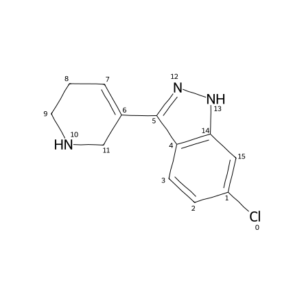 Clc1ccc2c(C3=CCCNC3)n[nH]c2c1